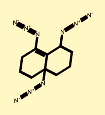 [N-]=[N+]=NC1=C2C(N=[N+]=[N-])CCCC2(N=[N+]=[N-])CCC1